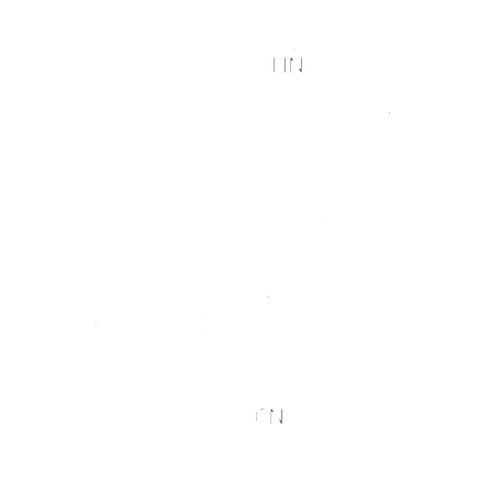 N#Cc1ccccc1[CH]c1ccc2[nH]ccc2c1